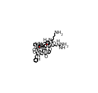 N=C(N)NCCC[C@H](NC(=O)[C@@H](N)CCCCN)C(=O)N1CCC[C@H]1C(=O)N1CCC[C@H]1C(=O)NCC(=O)N[C@@H](Cc1ccccc1)C(=O)N[C@@H](CO)C(=O)N1CCC[C@H]1C(=O)N[C@H](Cc1ccccc1)C(=O)O